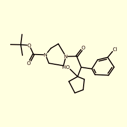 CC(C)(C)OC(=O)N1CCN(C(=O)C(c2cccc(Cl)c2)C2(O)CCCC2)CC1